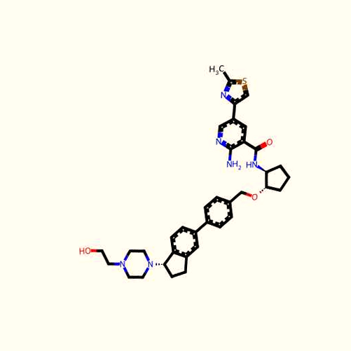 Cc1nc(-c2cnc(N)c(C(=O)N[C@H]3CCC[C@@H]3OCc3ccc(-c4ccc5c(c4)CC[C@@H]5N4CCN(CCO)CC4)cc3)c2)cs1